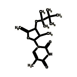 C=C1OC(n2cc(C)c(=O)[nH]c2=O)C(C)C1O[Si](C)(C)C(C)(C)C